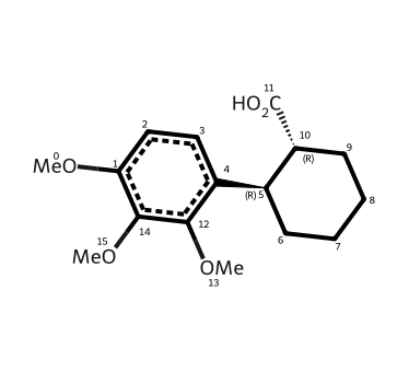 COc1ccc([C@@H]2CCCC[C@H]2C(=O)O)c(OC)c1OC